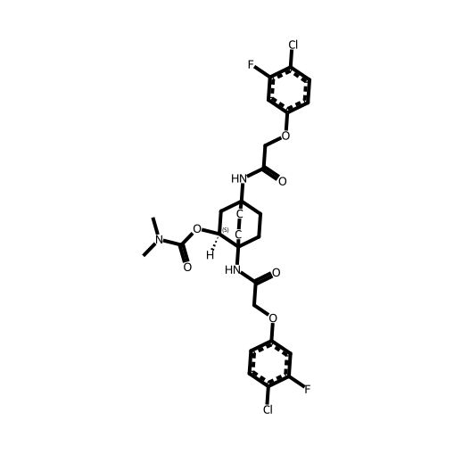 CN(C)C(=O)O[C@H]1CC2(NC(=O)COc3ccc(Cl)c(F)c3)CCC1(NC(=O)COc1ccc(Cl)c(F)c1)CC2